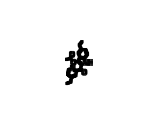 CCc1ccnc(C(=O)c2[nH]c3ccc(CC)cc3c2OC(C)=O)c1